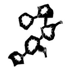 COc1cc(-n2cccc2)ccc1-n1ccc(=O)c(-c2ccnn2-c2ccccc2)n1